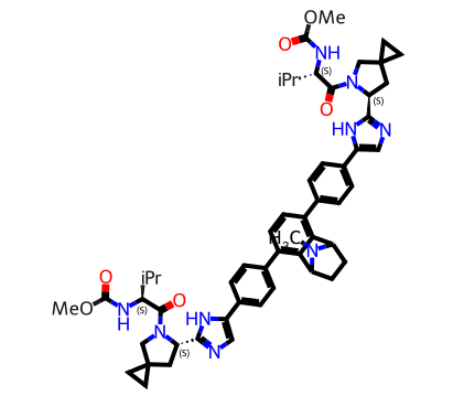 COC(=O)N[C@H](C(=O)N1CC2(CC2)C[C@H]1c1ncc(-c2ccc(-c3ccc(-c4ccc(-c5cnc([C@@H]6CC7(CC7)CN6C(=O)[C@@H](NC(=O)OC)C(C)C)[nH]5)cc4)c4c3C3CCC4N3C)cc2)[nH]1)C(C)C